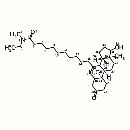 CCN(C)C(=O)CCCCCCCCCCC1CC2CC(=O)CC[C@]2(C)[C@@H]2CC[C@]3(C)C(O)CC[C@H]3[C@H]12